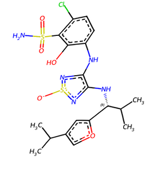 CC(C)c1coc([C@H](Nc2n[s+]([O-])nc2Nc2ccc(Cl)c(S(N)(=O)=O)c2O)C(C)C)c1